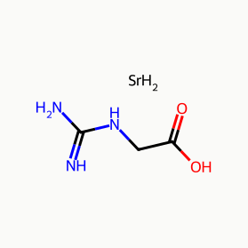 N=C(N)NCC(=O)O.[SrH2]